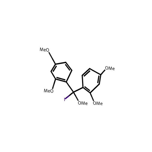 COc1ccc(C(I)(OC)c2ccc(OC)cc2OC)c(OC)c1